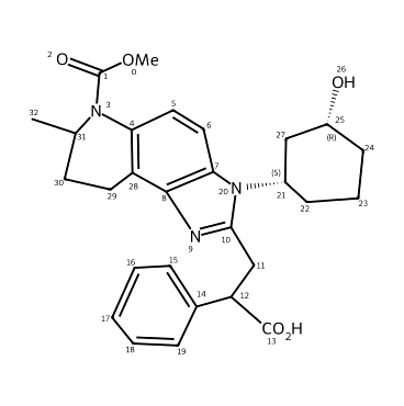 COC(=O)N1c2ccc3c(nc(CC(C(=O)O)c4ccccc4)n3[C@H]3CCC[C@@H](O)C3)c2CCC1C